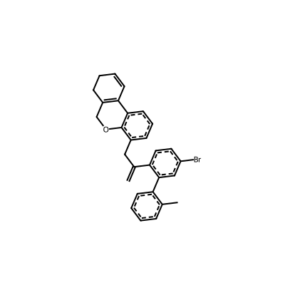 C=C(Cc1cccc2c1OCC1=C2C=CCC1)c1ccc(Br)cc1-c1ccccc1C